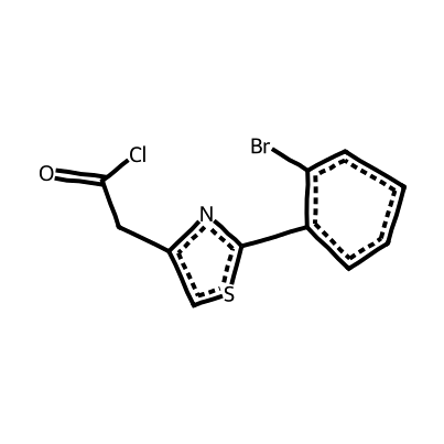 O=C(Cl)Cc1csc(-c2ccccc2Br)n1